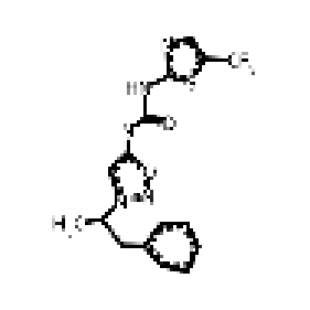 CC(Cc1ccccc1)[n+]1cc([N-]C(=O)Nc2ncc(C(F)(F)F)s2)on1